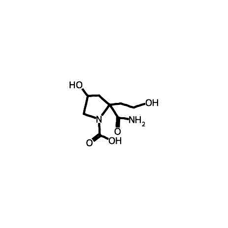 NC(=O)C1(CCO)CC(O)CN1C(=O)O